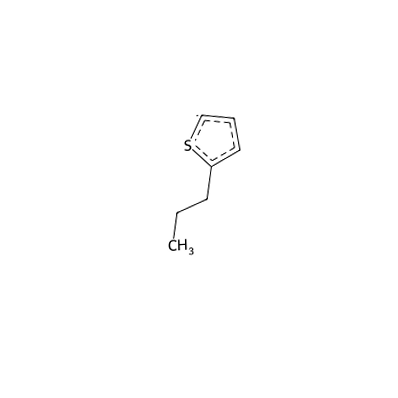 CCCc1cc[c]s1